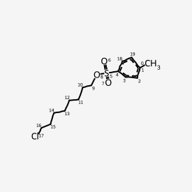 Cc1ccc(S(=O)(=O)OCCCCCCCCCl)cc1